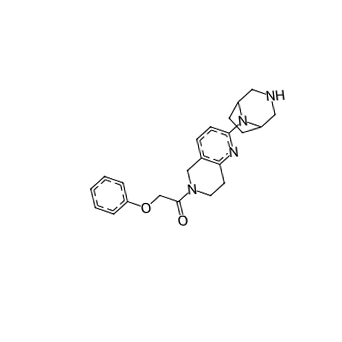 O=C(COc1ccccc1)N1CCc2nc(N3C4CCC3CNC4)ccc2C1